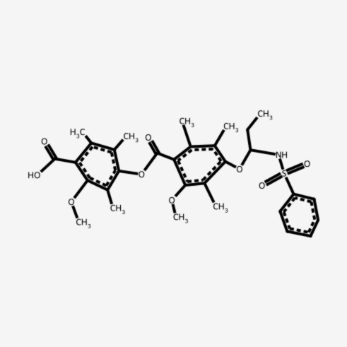 CCC(NS(=O)(=O)c1ccccc1)Oc1c(C)c(C)c(C(=O)Oc2c(C)c(C)c(C(=O)O)c(OC)c2C)c(OC)c1C